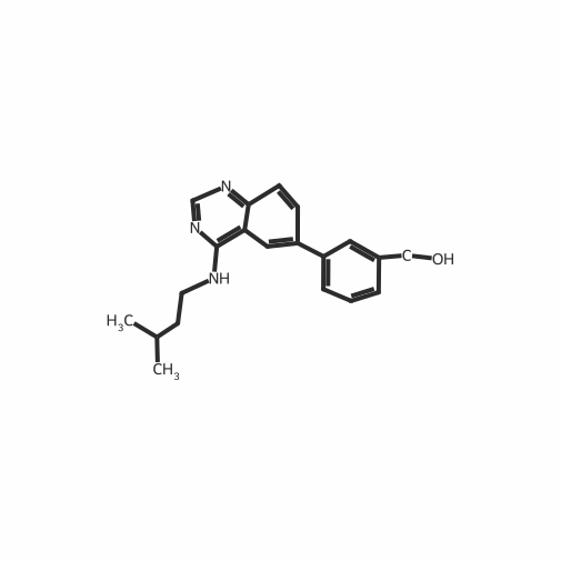 CC(C)CCNc1ncnc2ccc(-c3cccc(CO)c3)cc12